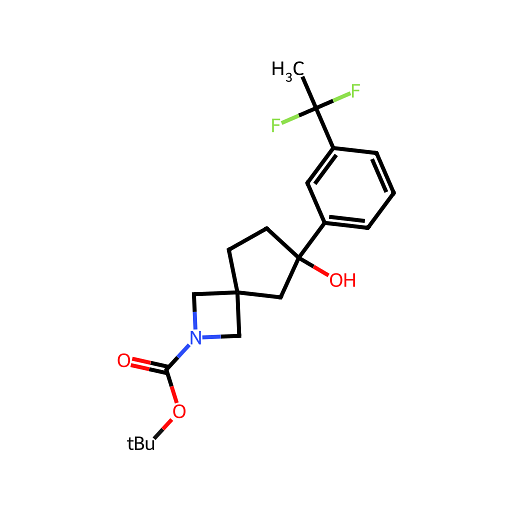 CC(C)(C)OC(=O)N1CC2(CCC(O)(c3cccc(C(C)(F)F)c3)C2)C1